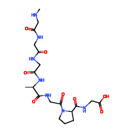 CNCC(=O)NCC(=O)NCC(=O)NC(C)C(=O)NCC(=O)N1CCCC1C(=O)NCC(=O)O